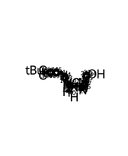 CC(C)(C)OC(=O)N1CCC2(CCC(CN3CCC(n4cc(NC(=O)c5cnn6ccc(N7CCC[C@H](O)C7)nc56)c(C(F)F)n4)CC3)CC2)CC1